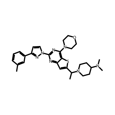 Cc1cccc(-c2ccn(-c3nc(N4CCOCC4)c4sc(C(C)N5CCC(N(C)C)CC5)cc4n3)n2)c1